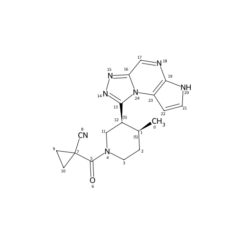 C[C@H]1CCN(C(=O)C2(C#N)CC2)C[C@H]1c1nnc2cnc3[nH]ccc3n12